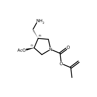 C=C(C)OC(=O)N1C[C@@H](CN)[C@H](OC(C)=O)C1